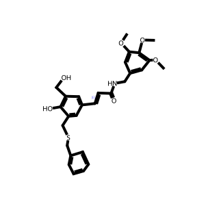 COc1cc(CNC(=O)/C=C/c2cc(CO)c(O)c(CSCc3ccccc3)c2)cc(OC)c1OC